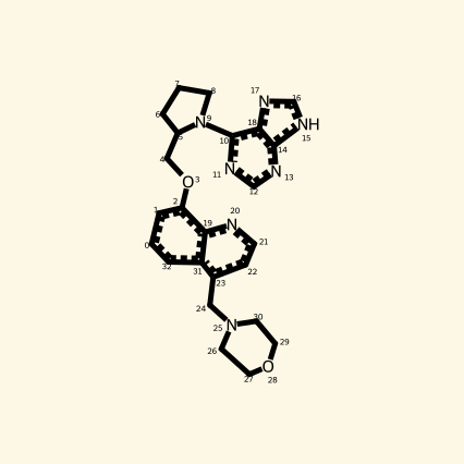 c1cc(OCC2CCCN2c2ncnc3[nH]cnc23)c2nccc(CN3CCOCC3)c2c1